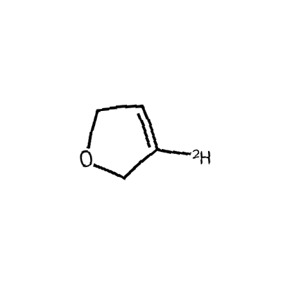 [2H]C1=CCOC1